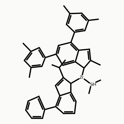 CC1=Cc2c(-c3cc(C)cc(C)c3)cc(-c3cc(C)cc(C)c3)cc2[CH]1[Zr]([CH]1C(C(C)C)=Cc2c(-c3ccccc3)cccc21)[SiH](C)C